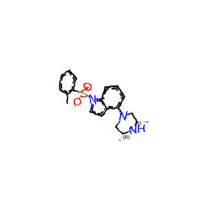 Cc1ccccc1S(=O)(=O)n1ccc2c(N3C[C@@H](C)N[C@@H](C)C3)cccc21